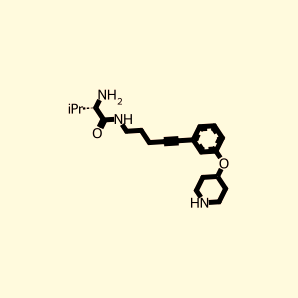 CC(C)[C@H](N)C(=O)NCCCC#Cc1cccc(OC2CCNCC2)c1